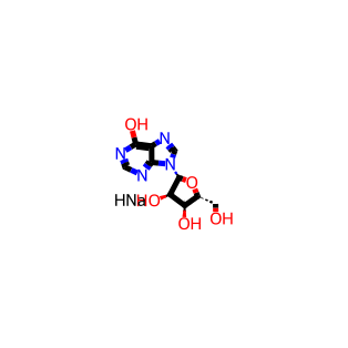 OC[C@H]1O[C@@H](n2cnc3c(O)ncnc32)[C@H](O)[C@@H]1O.[NaH]